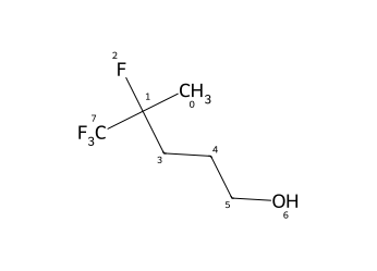 CC(F)(CCCO)C(F)(F)F